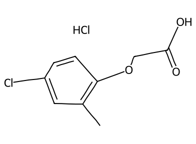 Cc1cc(Cl)ccc1OCC(=O)O.Cl